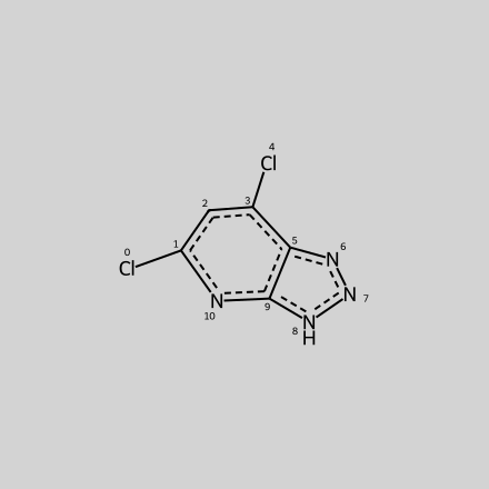 Clc1cc(Cl)c2nn[nH]c2n1